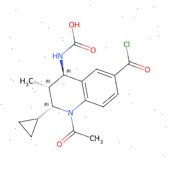 CC(=O)N1c2ccc(C(=O)Cl)cc2[C@H](NC(=O)O)[C@@H](C)[C@H]1C1CC1